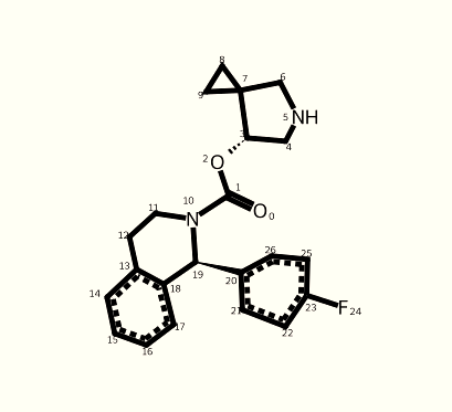 O=C(O[C@H]1CNCC12CC2)N1CCc2ccccc2[C@@H]1c1ccc(F)cc1